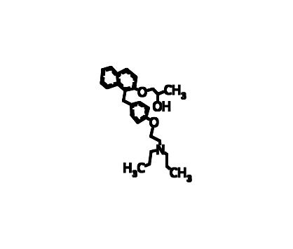 CCCN(CCC)CCOc1ccc(Cc2c(OCC(C)O)ccc3ccccc23)cc1